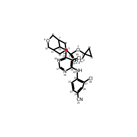 CC1(OC(=O)N2CC3COCC(C2)C3Oc2ncnc(Nc3ccc(C#N)cc3Cl)c2Cl)CC1